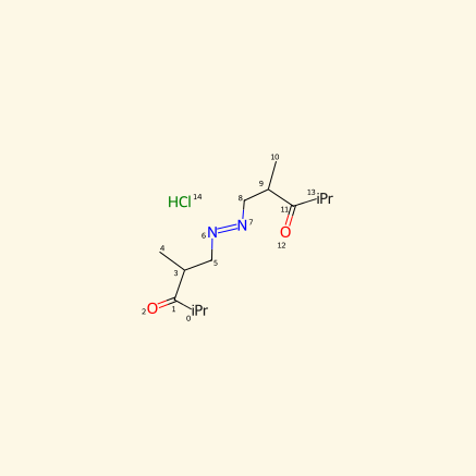 CC(C)C(=O)C(C)CN=NCC(C)C(=O)C(C)C.Cl